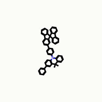 CC1(C)c2ccccc2N(c2ccc(-c3ccc4c(c3)C3(c5ccccc5-c5ccccc53)c3ccccc3-4)cc2)c2ccc(-c3ccccc3)cc21